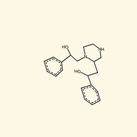 OC(CC1CNCCN1CC(O)c1ccccc1)c1ccccc1